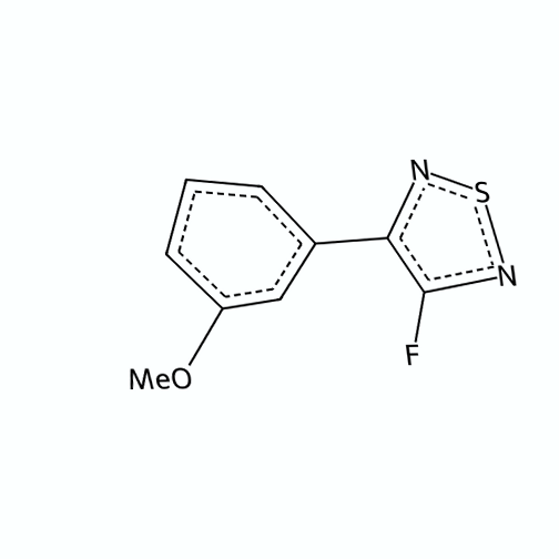 COc1cccc(-c2nsnc2F)c1